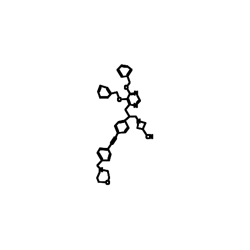 N#CC1CN(CC(Cc2ncnc(OCc3ccccc3)c2OCc2ccccc2)c2ccc(C#Cc3ccc(CN4CCOCC4)cc3)cc2)C1